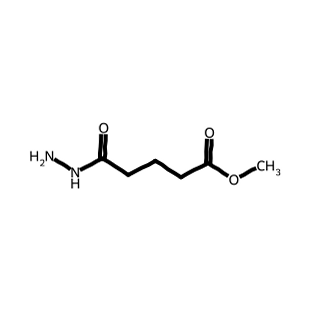 COC(=O)CCCC(=O)NN